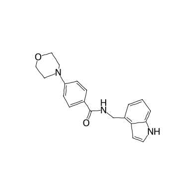 O=C(NCc1cccc2[nH]ccc12)c1ccc(N2CCOCC2)cc1